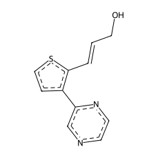 OC/C=C/c1sccc1-c1cnccn1